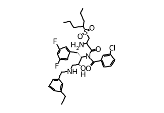 CCCC(CCC)S(=O)(=O)CC(N)C(=O)N(C(=O)c1cccc(Cl)c1)[C@@H](Cc1cc(F)cc(F)c1)[C@H](O)CNCc1cccc(CC)c1